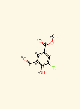 COC(=O)c1cc(F)c(O)c(C=O)c1